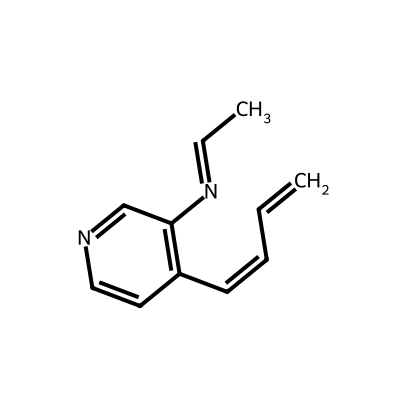 C=C/C=C\c1ccncc1/N=C/C